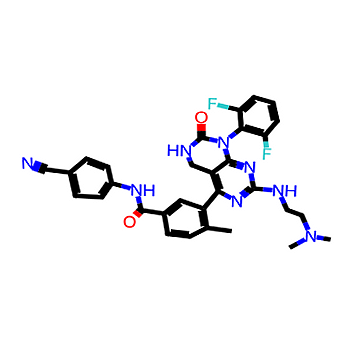 Cc1ccc(C(=O)Nc2ccc(C#N)cc2)cc1-c1nc(NCCN(C)C)nc2c1CNC(=O)N2c1c(F)cccc1F